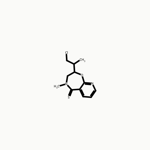 CC(CCl)C1CN(C)C(=S)c2cccnc2O1